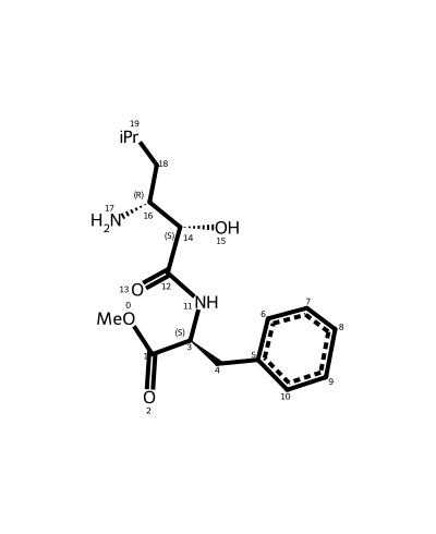 COC(=O)[C@H](Cc1ccccc1)NC(=O)[C@@H](O)[C@H](N)CC(C)C